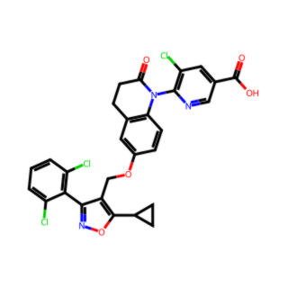 O=C(O)c1cnc(N2C(=O)CCc3cc(OCc4c(-c5c(Cl)cccc5Cl)noc4C4CC4)ccc32)c(Cl)c1